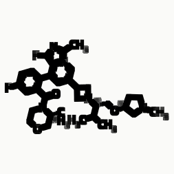 Cc1nc(F)c2c(-c3ccc(F)cc3C(=O)N3CCOC[C@H]3C)cc(C3CN([C@H](CO[C@H]4CCN(C)C4)C(C)C)C3)cn12